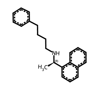 C[C@@H](NCCCCc1ccccc1)c1cccc2ccccc12